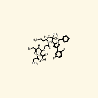 CCC(=O)N[C@@H](C(=O)O)C(NC(=O)CBr)SCC(=O)N(CCCN)[C@@H](c1cc(-c2cc(F)ccc2F)cn1Cc1ccccc1)C(C)(C)C